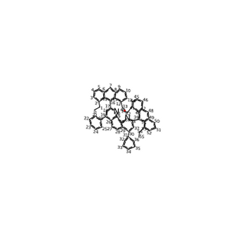 CCc1cccc2cc3cccc(CC)c3c(-c3cc(-c4ccccc4)c4ccc5c(-c6ccccc6)cc(-c6c7c(CC)cccc7cc7cccc(CC)c67)nc5c4n3)c12